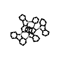 c1ccc(-n2c3ccccc3c3ccccc32)c(-c2ccccc2-n2c3ccccc3c3cc(-n4c5ccccc5c5cccc(-n6c7ccccc7c7ccccc76)c54)ccc32)c1